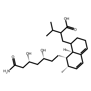 CC(C)C(CC1CCC=C2C=C[C@H](C)[C@H](CC[C@@H](O)C[C@@H](O)CC(N)=O)[C@H]21)C(=O)O